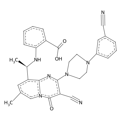 Cc1cc([C@@H](C)Nc2ccccc2C(=O)O)c2nc(N3CCN(c4cccc(C#N)c4)CC3)c(C#N)c(=O)n2c1